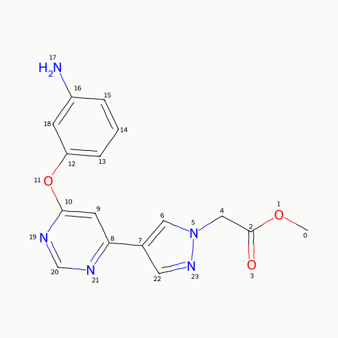 COC(=O)Cn1cc(-c2cc(Oc3cccc(N)c3)ncn2)cn1